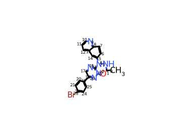 CC(=O)NN(c1ccc2ncccc2c1)c1ncc(-c2ccc(Br)cc2)nn1